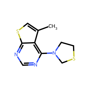 Cc1csc2ncnc(N3CCSC3)c12